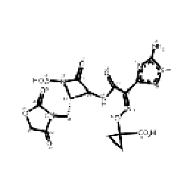 Nc1nc(/C(=N/OC2(C(=O)O)CC2)C(=O)NC2C(=O)N(S(=O)(=O)O)[C@H]2CN2C(=O)COC2=O)cs1